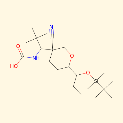 CCC(O[Si](C)(C)C(C)(C)C)C1CCC(C#N)(C(NC(=O)O)C(C)(C)C)CO1